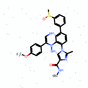 Cc1nc(C(=O)NC(C)(C)C)cn1-c1ccc(-c2cccc([S+](C)[O-])c2)cc1N(N)/C(=C\N)c1ccc(OC(F)(F)F)cc1